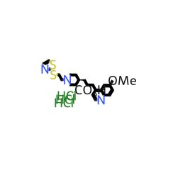 COc1ccc2nccc(CCC[C@@H]3CCN(CCSc4nccs4)C[C@@H]3C(=O)O)c2c1.Cl.Cl.Cl